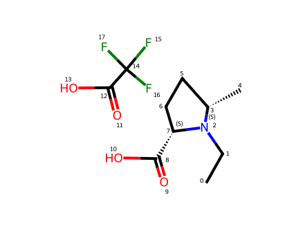 CCN1[C@@H](C)CC[C@H]1C(=O)O.O=C(O)C(F)(F)F